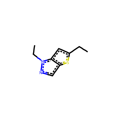 CCc1cc2c(cnn2CC)s1